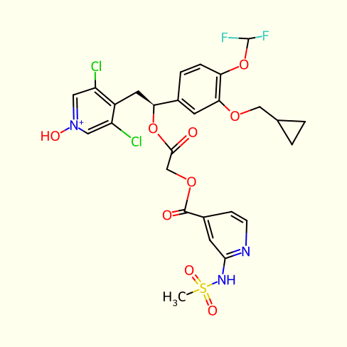 CS(=O)(=O)Nc1cc(C(=O)OCC(=O)O[C@@H](Cc2c(Cl)c[n+](O)cc2Cl)c2ccc(OC(F)F)c(OCC3CC3)c2)ccn1